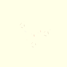 Cc1ccc(CNCC(NC(=O)CNC(=O)c2cccc(C(F)(F)F)c2)C(O)Cc2ccccc2)c(C)c1